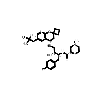 CN1CCO[C@H](C(=O)N[C@@H](Cc2ccc(F)cc2)[C@H](O)CN[C@H]2CC3(CCC3)Oc3ncc(CC(C)(C)C)cc32)C1